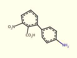 Nc1ccc(-c2cccc([N+](=O)[O-])c2C(=O)O)cc1